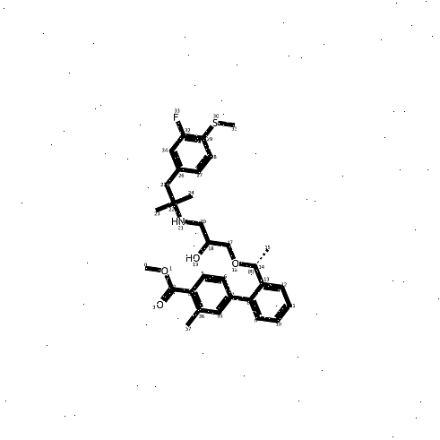 COC(=O)c1ccc(-c2ccccc2[C@@H](C)OCC(O)CNC(C)(C)Cc2ccc(SC)c(F)c2)cc1C